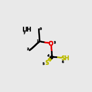 CC(C)OC(=S)S.[LiH]